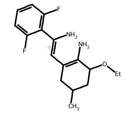 CCOC1CC(C)CC(/C=C(\N)c2c(F)cccc2F)=C1N